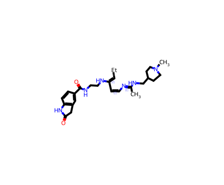 CC/C=C(/C=C\N=C(/C)NCC1CCN(C)CC1)NCCNC(=O)c1ccc2c(c1)CC(=O)N2